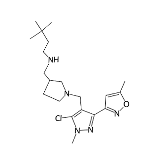 Cc1cc(-c2nn(C)c(Cl)c2CN2CCC(CNCCC(C)(C)C)C2)no1